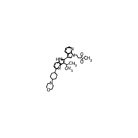 CC(C)c1c(-c2cn(CCS(C)(=O)=O)c3ncccc23)[nH]c2ccc(C3CCC(N4CCOCC4)CC3)nc12